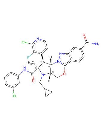 C[C@]1(C(=O)Nc2cccc(Cl)c2)[C@@H](c2ccnc(Cl)c2F)[C@H]2[C@H](COc3c4ccc(C(N)=O)cc4nn32)N1CC1CC1